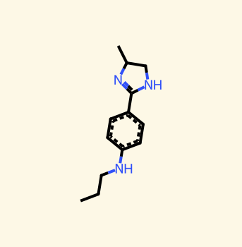 CCCNc1ccc(C2=NC(C)CN2)cc1